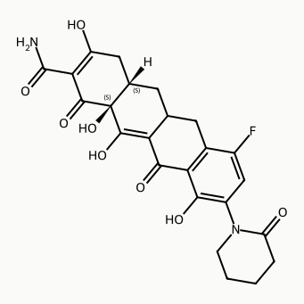 NC(=O)C1=C(O)C[C@@H]2CC3Cc4c(F)cc(N5CCCCC5=O)c(O)c4C(=O)C3=C(O)[C@]2(O)C1=O